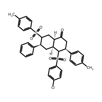 Cc1ccc([C@@H]2CC(=O)[C@@H]3CC(S(=O)(=O)c4ccc(C)cc4)[C@H](c4ccccc4)C[C@@H]3C2S(=O)(=O)c2ccc(Cl)cc2)cc1